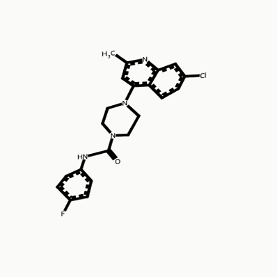 Cc1cc(N2CCN(C(=O)Nc3ccc(F)cc3)CC2)c2ccc(Cl)cc2n1